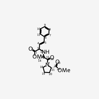 COC(=O)C(C=Cc1ccccc1)N[C@@H](C)C(=O)N1CCC[C@H]1C(=O)OC